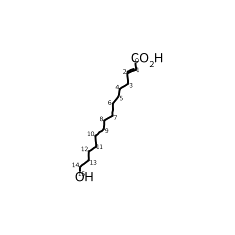 O=C(O)/C=C/CCCCCCCCCCCCO